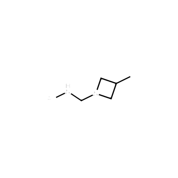 CC(=O)NCN1CC(C)C1